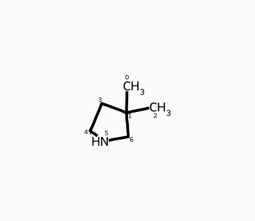 CC1(C)C[CH]NC1